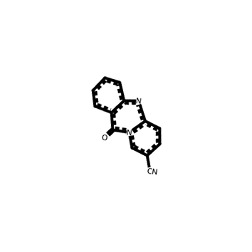 N#Cc1ccc2nc3ccccc3c(=O)n2c1